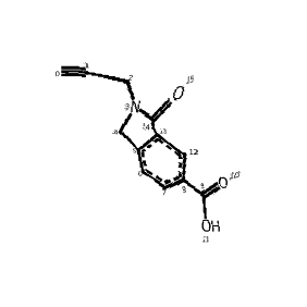 C#CCN1Cc2ccc(C(=O)O)cc2C1=O